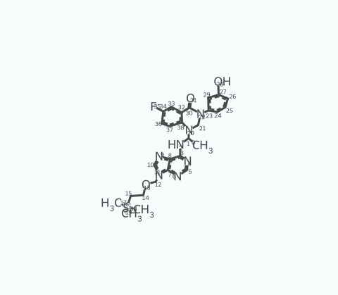 CC(Nc1ncnc2c1ncn2COCC[Si](C)(C)C)N1CN(c2cccc(O)c2)C(=O)c2cc(F)ccc21